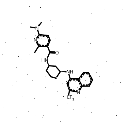 Cc1nc(N(C)C)ccc1C(=O)N[C@@H]1CCC[C@H](Nc2cc(C(F)(F)F)nc3ccccc23)C1